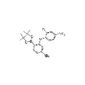 CC(C)(C)c1ccc(B2OC(C)(C)C(C)(C)O2)c(Oc2ccc([N+](=O)[O-])cc2F)c1